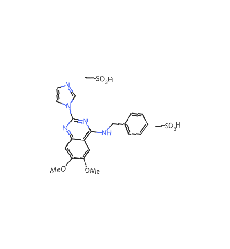 COc1cc2nc(-n3ccnc3)nc(NCc3ccccc3)c2cc1OC.CS(=O)(=O)O.CS(=O)(=O)O